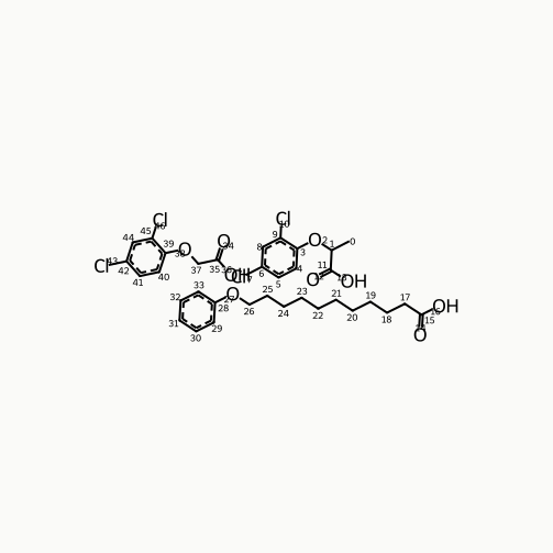 CC(Oc1ccc(Cl)cc1Cl)C(=O)O.O=C(O)CCCCCCCCCCOc1ccccc1.O=C(O)COc1ccc(Cl)cc1Cl